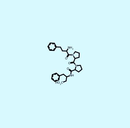 NC(CCc1ccccc1)C(=O)N1CCCC1C(=O)N1CCCC1C(=O)NC(CC(=O)O)Cc1ccccc1